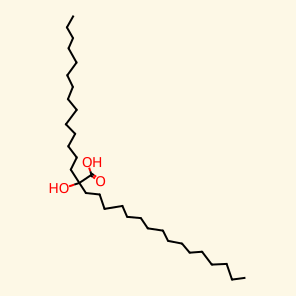 CCCCCCCCCCCCCCCCC(O)(CCCCCCCCCCCCCC)C(=O)O